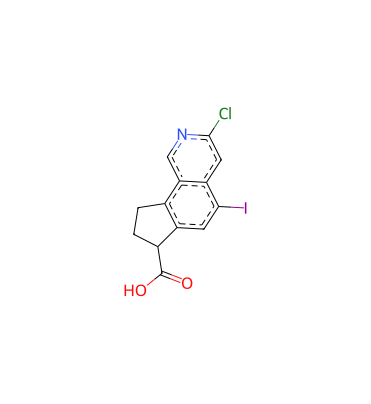 O=C(O)C1CCc2c1cc(I)c1cc(Cl)ncc21